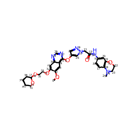 COc1cc2c(Oc3cnn(CC(=O)Nc4ccc5c(c4)OCCN5C)c3)ncnc2cc1OCCOC1CCCCO1